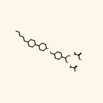 C=C(C)C(=O)OCC(COC(=O)C(=C)CO)C1CCC(COC2CCC(C3CCC(CCCCC)CC3)CC2)CC1